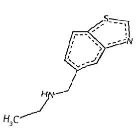 CCNCc1ccc2scnc2c1